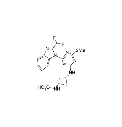 CSc1nc(N[C@H]2C[C@H](NC(=O)O)C2)cc(-n2c(C(F)F)nc3ccccc32)n1